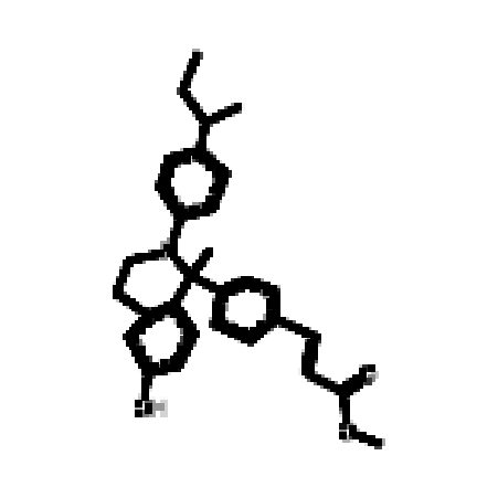 CCC(C)c1ccc(N2CCc3cc(O)ccc3C2(C)c2ccc(C=CC(=O)OC)cc2)cc1